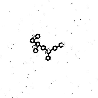 c1ccc(-c2cc(-c3ccc(-c4ccncc4)cc3)nc(-c3ccc(-c4ccc(-c5cccc6sc7ccccc7c56)c5oc6ccccc6c45)cc3)n2)cc1